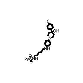 CC(C)S(=O)(=O)NCCCCCNc1ccc(N2CCC(O)(c3ccc(Cl)cc3)CC2)cc1